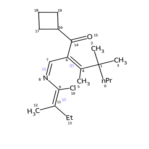 CCCC(C)(C)/C(C)=C(/C=N\C(Cl)=C(/C)CC)C(=O)C1CCC1